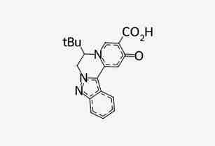 CC(C)(C)C1Cn2nc3ccccc3c2-c2cc(=O)c(C(=O)O)cn21